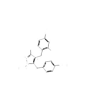 Cc1nn(C)c(Cc2ccc(S(=O)(=O)O)cc2)c1Cc1ccc(Cl)cc1Cl